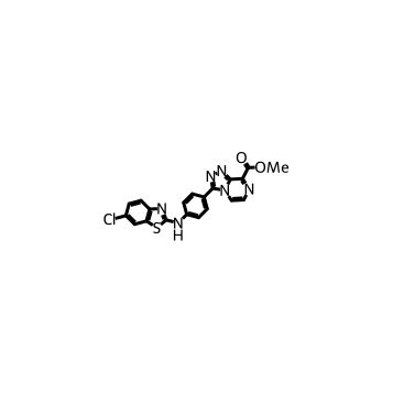 COC(=O)c1nccn2c(-c3ccc(Nc4nc5ccc(Cl)cc5s4)cc3)nnc12